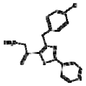 CCOC(=O)CC(=O)c1sc(-c2ccncc2)nc1Cc1ccc(Cl)cc1